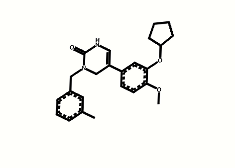 COc1ccc(C2=CNC(=O)N(Cc3cccc(C)c3)C2)cc1OC1CCCC1